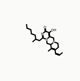 C/C=C\C1=C(C)C2Cn3c(CC(C)CCCCC)nc(=O)c(O)c3CN2CC1